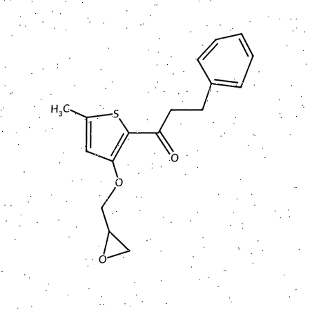 Cc1cc(OCC2CO2)c(C(=O)CCc2ccccc2)s1